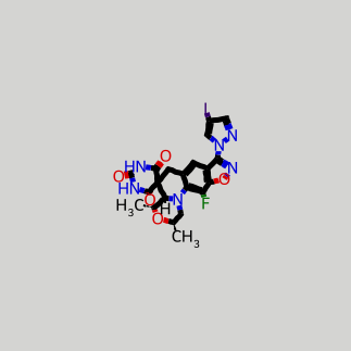 C[C@H]1CN2c3c(cc4c(-n5cc(I)cn5)noc4c3F)CC3(C(=O)NC(=O)NC3=O)[C@@H]2[C@@H](C)O1